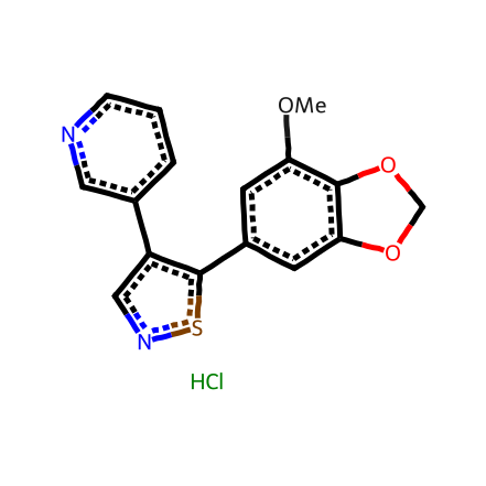 COc1cc(-c2sncc2-c2cccnc2)cc2c1OCO2.Cl